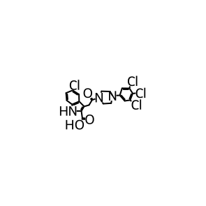 O=C(O)c1[nH]c2ccc(Cl)cc2c1CC(=O)N1CCN(c2cc(Cl)c(Cl)c(Cl)c2)CC1